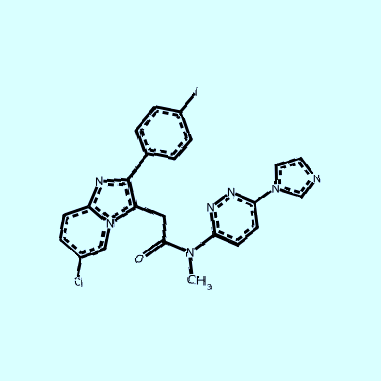 CN(C(=O)Cc1c(-c2ccc(I)cc2)nc2ccc(Cl)cn12)c1ccc(-n2ccnc2)nn1